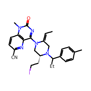 C/C=C1\CN(C(CC)c2ccc(C)cc2)[C@H](CCI)CN1c1nc(=O)n(C)c2ccc(C#N)nc12